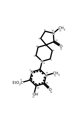 CCOC(=O)c1nc(N2CCC3(CCN(C)C3=O)CC2)n(C)c(=O)c1O